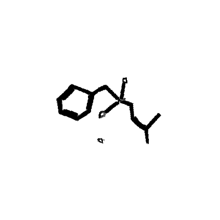 CC(C)=CC[N+](Cl)(Cl)Cc1ccccc1.[Cl-]